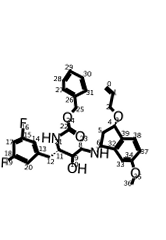 C=CCO[C@H]1C[C@@H](NCC(O)[C@H](Cc2cc(F)cc(F)c2)NC(=O)OCc2ccccc2)c2cc(OC)ccc21